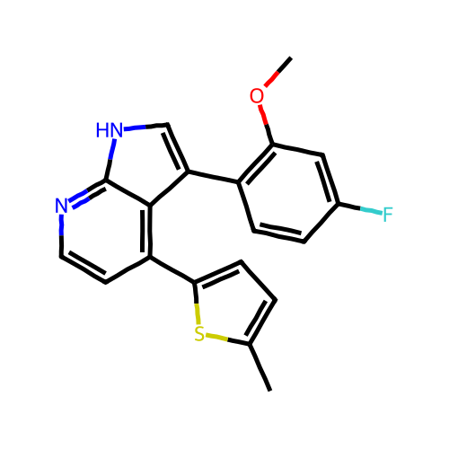 COc1cc(F)ccc1-c1c[nH]c2nccc(-c3ccc(C)s3)c12